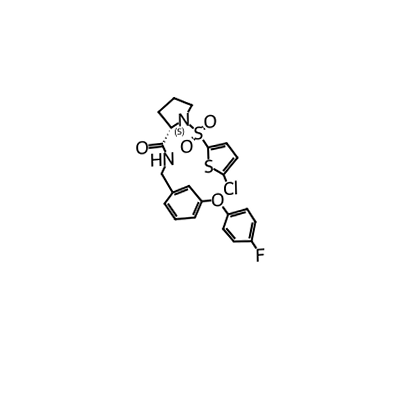 O=C(NCc1cccc(Oc2ccc(F)cc2)c1)[C@@H]1CCCN1S(=O)(=O)c1ccc(Cl)s1